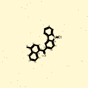 CCn1c2ccccc2c2cc(C(=S)c3ccc(C)c4ccccc34)ccc21